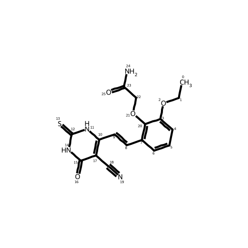 CCOc1cccc(C=Cc2[nH]c(=S)[nH]c(=O)c2C#N)c1OCC(N)=O